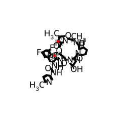 Cc1ccc(NC(=O)N[C@@H](CC2C=C(F)C=C(F)C2)C(=O)N[C@@H]2C(=O)N3C[C@H](O)C[C@H]3C(=O)N3CCCC[C@H]3C(=O)N[C@@H](C)C(=O)N3C[C@H](C)C[C@H]3C(=O)O[C@H]2C)cn1